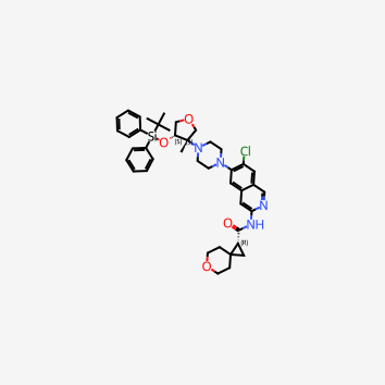 CC(C)(C)[Si](O[C@@H]1COC[C@]1(C)N1CCN(c2cc3cc(NC(=O)[C@@H]4CC45CCOCC5)ncc3cc2Cl)CC1)(c1ccccc1)c1ccccc1